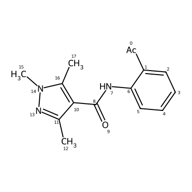 CC(=O)c1ccccc1NC(=O)c1c(C)nn(C)c1C